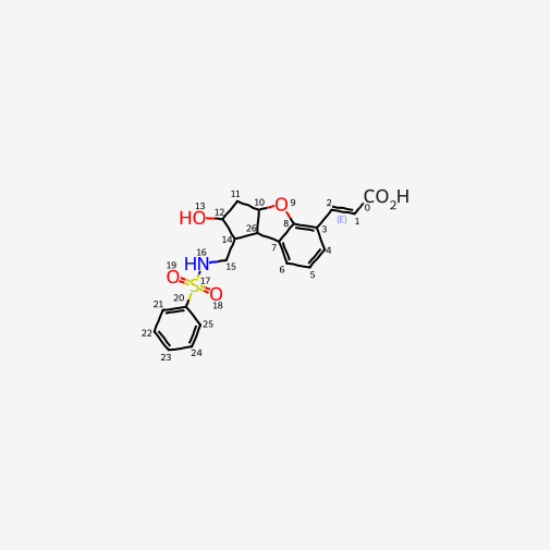 O=C(O)/C=C/c1cccc2c1OC1CC(O)C(CNS(=O)(=O)c3ccccc3)C21